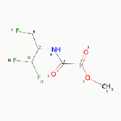 COC(=O)C(=O)NC(CF)C(F)F